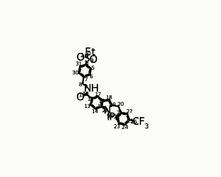 CCS(=O)(=O)c1ccc(CNC(=O)c2ccc3c(c2)cc(Cc2cccc(C(F)(F)F)c2)n3C(C)C)cc1